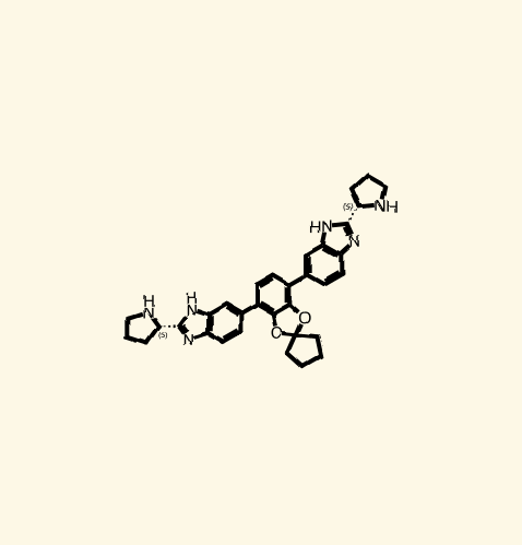 c1cc2nc([C@@H]3CCCN3)[nH]c2cc1-c1ccc(-c2ccc3nc([C@@H]4CCCN4)[nH]c3c2)c2c1OC1(CCCC1)O2